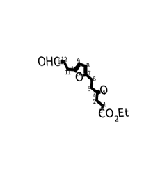 CCOC(=O)CCC(=O)CCc1ccc(CCC=O)o1